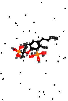 CCc1cc(CCC(=O)O)c(CC)c(P(=O)(O)O)c1OC(C(C)C)(C(C)C)P(=O)(O)O